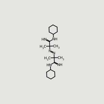 CC(C)(N=NC(C)(C)C(=N)NC1CCCCC1)C(=N)NC1CCCCC1